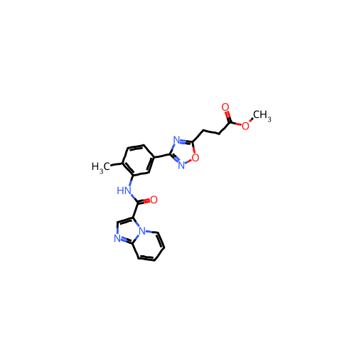 COC(=O)CCc1nc(-c2ccc(C)c(NC(=O)c3cnc4ccccn34)c2)no1